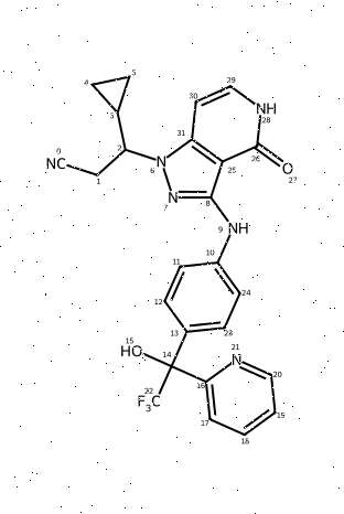 N#CCC(C1CC1)n1nc(Nc2ccc(C(O)(c3ccccn3)C(F)(F)F)cc2)c2c(=O)[nH]ccc21